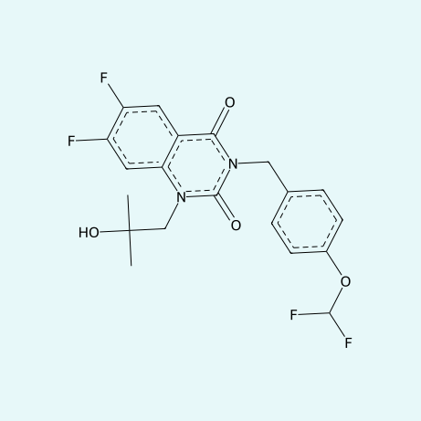 CC(C)(O)Cn1c(=O)n(Cc2ccc(OC(F)F)cc2)c(=O)c2cc(F)c(F)cc21